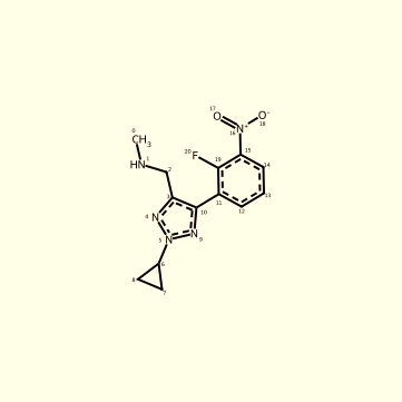 CNCc1nn(C2CC2)nc1-c1cccc([N+](=O)[O-])c1F